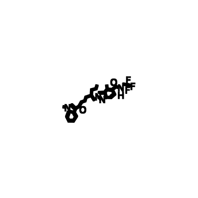 CCCC(CCCC(=O)c1cn(C)c2ccccc12)Cn1cc2c(C)c(C(=O)NCC(F)(F)F)ccc2n1